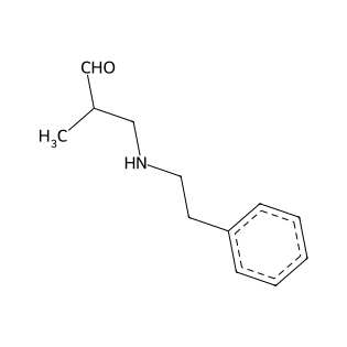 CC(C=O)CNCCc1ccccc1